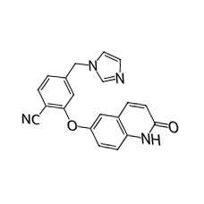 N#Cc1ccc(Cn2ccnc2)cc1Oc1ccc2[nH]c(=O)ccc2c1